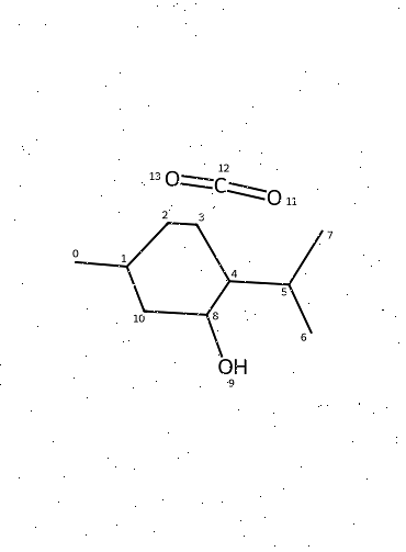 CC1CCC(C(C)C)C(O)C1.O=C=O